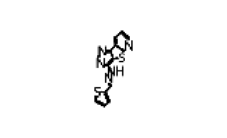 C(=NNc1ncnc2c1sc1ncccc12)c1cccs1